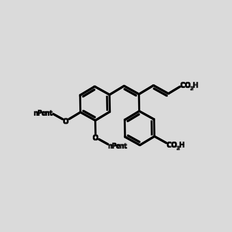 CCCCCOc1ccc(C=C(C=CC(=O)O)c2cccc(C(=O)O)c2)cc1OCCCCC